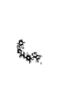 Cc1c[nH]c2ncnc(Oc3ccc(C[C@H](N)C(=O)N4CC[C@H](S(=O)(=O)c5ccccc5)C4)cc3F)c12